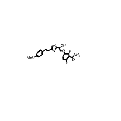 COc1ccc(CCc2csc(C(O)COc3ccc(F)c(C(N)=O)c3F)n2)cc1